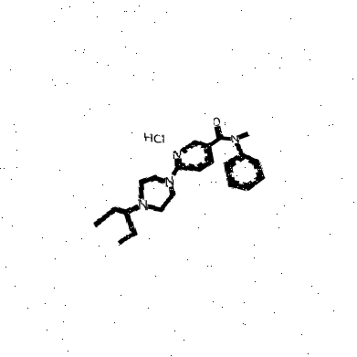 CCC(CC)N1CCN(c2ccc(C(=O)N(C)c3ccccc3)cn2)CC1.Cl